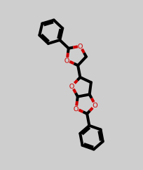 c1ccc(C2OCC(C3CC4OC(c5ccccc5)OC4O3)O2)cc1